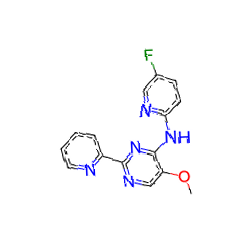 COc1cnc(-c2ccccn2)nc1Nc1ccc(F)cn1